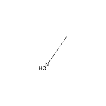 CCCCCCCCCCCCCCCCCCCCCCCCCCCCCCN=CCCO